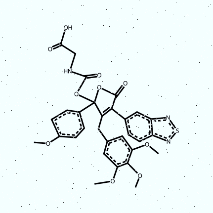 COc1ccc(C2(OC(=O)NCC(=O)O)OC(=O)C(c3ccc4nsnc4c3)=C2Cc2cc(OC)c(OC)c(OC)c2)cc1